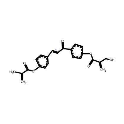 C=C(C)C(=O)Oc1ccc(/C=C/C(=O)c2ccc(OC(=O)C(=C)CO)cc2)cc1